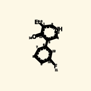 [CH2]Cc1c[nH]cc(-c2cccc(F)c2)c1=O